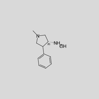 CN1CC(c2ccccc2)[C@@H](N)C1.Cl